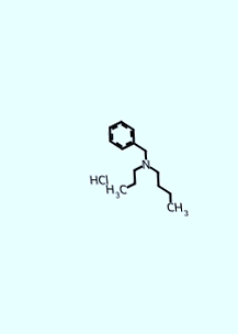 CCCCN(CCC)Cc1ccccc1.Cl